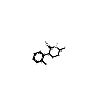 Cc1ccccc1C1CCC(C)OC1=O